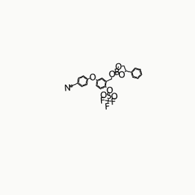 N#Cc1ccc(Oc2ccc(OS(=O)(=O)C(F)(F)F)c(COB3OCC(c4ccccc4)O3)c2)cc1